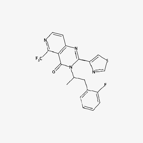 CC(Cc1ccccc1F)n1c(-c2cscn2)nc2ccnc(C(F)(F)F)c2c1=O